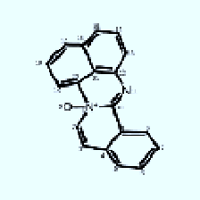 [O-][N+]12C=Cc3ccccc3C1=Nc1cccc3cccc2c13